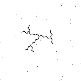 CCCN(CCC)CCCCN(CCCCN(CCC)CCC)CCCCN(CCC)CCC